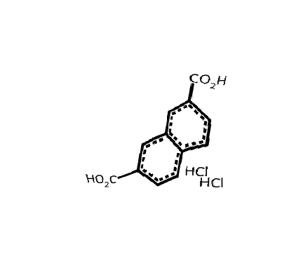 Cl.Cl.O=C(O)c1ccc2ccc(C(=O)O)cc2c1